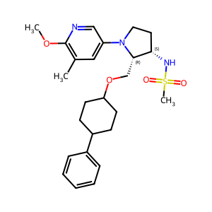 COc1ncc(N2CC[C@H](NS(C)(=O)=O)[C@@H]2COC2CCC(c3ccccc3)CC2)cc1C